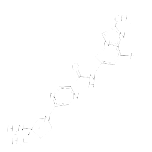 Cc1cn2cc(NC(=O)c3cnc(N4CC[C@](C)(N)C4)cn3)cc(F)c2n1